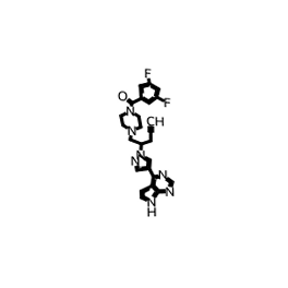 C#CCC(CN1CCN(C(=O)c2cc(F)cc(F)c2)CC1)n1cc(-c2ncnc3[nH]ccc23)cn1